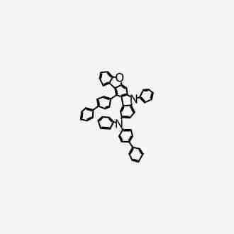 c1ccc(-c2ccc(-c3c4c(cc5c3c3cc(N(c6ccccc6)c6ccc(-c7ccccc7)cc6)ccc3n5-c3ccccc3)oc3ccccc34)cc2)cc1